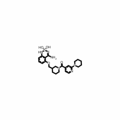 NC1=NS(O)(O)Nc2cccc(OCC3CCCN(C(=O)c4ccnc(N5CCCCC5)c4)C3)c21